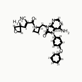 CC1(C=C(C#N)C(=O)N2CCC2Cn2c(=O)n(-c3ccc(Oc4ccccc4)cc3)c3c(N)ncnc32)COC1